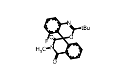 CN1C(=O)c2ccccc2C2(OC(C(C)(C)C)=Nc3cccc(F)c32)C1=O